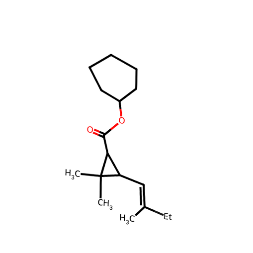 CCC(C)=CC1C(C(=O)OC2CCCCC2)C1(C)C